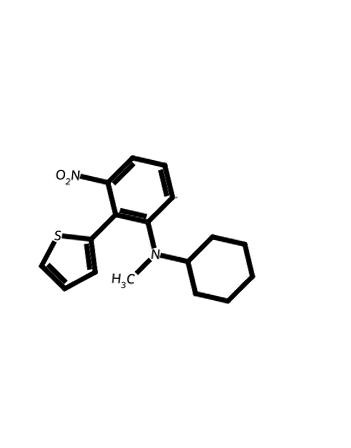 CN(c1[c]ccc([N+](=O)[O-])c1-c1cccs1)C1CCCCC1